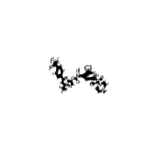 CN1CCN(S(=O)(=O)c2cc(NC(=O)Oc3cnn4c(C(F)(F)F)cc(-c5ccc(C(F)(F)F)cc5)nc34)c(Cl)s2)CC1